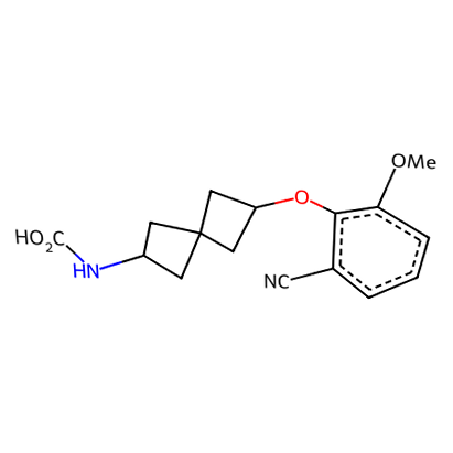 COc1cccc(C#N)c1OC1CC2(CC(NC(=O)O)C2)C1